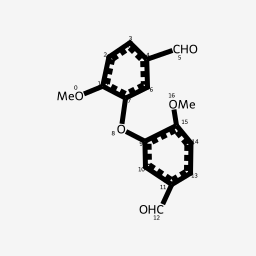 COc1ccc(C=O)cc1Oc1cc(C=O)ccc1OC